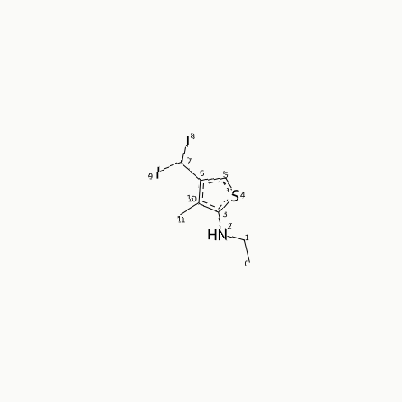 CCNc1scc(C(I)I)c1C